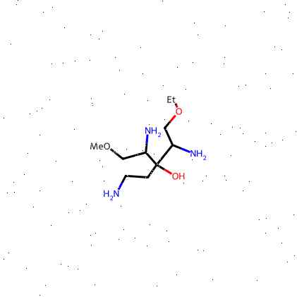 CCOCC(N)C(O)(CCN)C(N)COC